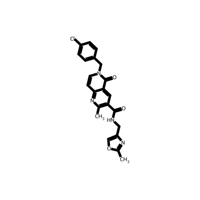 Cc1nc(CNC(=O)c2cc3c(=O)n(Cc4ccc(Cl)cc4)ccc3nc2C)co1